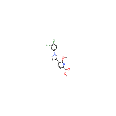 COC(=O)c1ccc(C2CCN(c3ccc(Cl)c(Cl)c3)C2)c(OC)n1